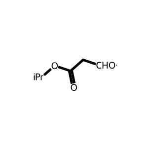 CC(C)OC(=O)C[C]=O